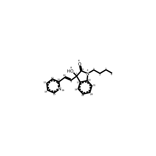 CCCCN1C(=O)C(O)(/C=C/c2ccccn2)c2ccccc21